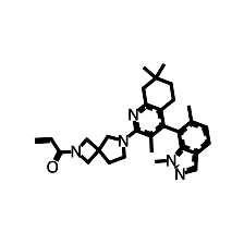 C=CC(=O)N1CC2(CCN(c3nc4c(c(-c5c(C)ccc6cnn(C)c56)c3C)CCC(C)(C)C4)C2)C1